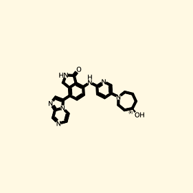 O=C1NCc2c(-c3cnc4cnccn34)ccc(Nc3ccc(N4CCC[C@@H](O)CC4)cn3)c21